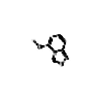 [CH2]Oc1cccc2nonc12